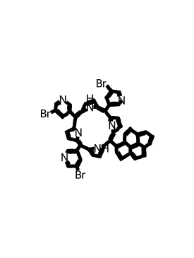 Brc1cncc(-c2c3nc(c(-c4cncc(Br)c4)c4ccc([nH]4)c(-c4ccc5ccc6cccc7ccc4c5c67)c4nc(c(-c5cncc(Br)c5)c5ccc2[nH]5)C=C4)C=C3)c1